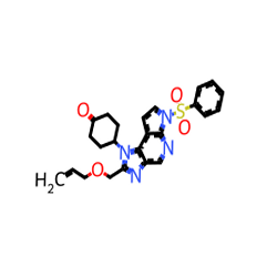 C=CCOCc1nc2cnc3c(ccn3S(=O)(=O)c3ccccc3)c2n1C1CCC(=O)CC1